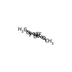 CCCCOc1ccc(-c2ccc(OC(=O)c3ccc(C4CCC(OCCCC)CC4)c(F)c3F)cc2)c(F)c1